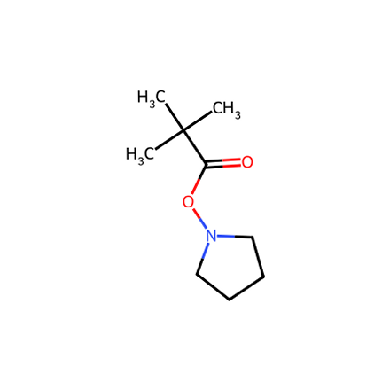 CC(C)(C)C(=O)ON1CCCC1